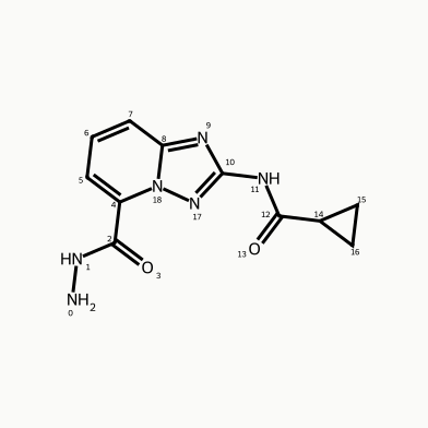 NNC(=O)c1cccc2nc(NC(=O)C3CC3)nn12